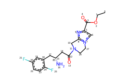 CCOC(=O)c1cn2c(n1)CN(C(=O)C[C@H](N)Cc1cc(F)ccc1F)CC2